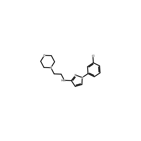 Clc1cccc(-n2ccc(NCCN3CCOCC3)n2)c1